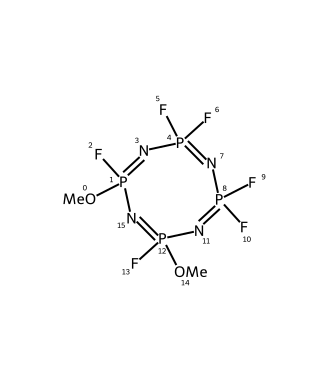 COP1(F)=NP(F)(F)=NP(F)(F)=NP(F)(OC)=N1